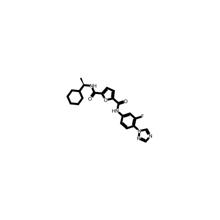 C[C@@H](NC(=O)c1ccc(C(=O)Nc2ccc(-n3cncn3)c(F)c2)o1)C1CCCCC1